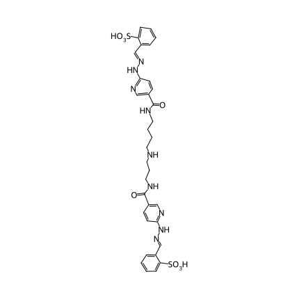 O=C(NCCCCNCCCNC(=O)c1ccc(N/N=C/c2ccccc2S(=O)(=O)O)nc1)c1ccc(NN=Cc2ccccc2S(=O)(=O)O)nc1